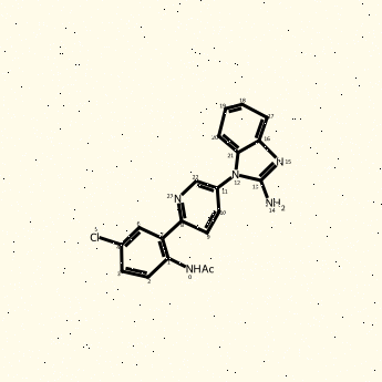 CC(=O)Nc1ccc(Cl)cc1-c1ccc(-n2c(N)nc3ccccc32)cn1